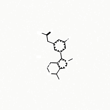 CC1NCCc2c1nn(C)c2-c1cc(F)cc(CC(N)=O)c1.Cl